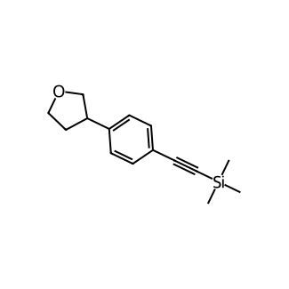 C[Si](C)(C)C#Cc1ccc(C2CCOC2)cc1